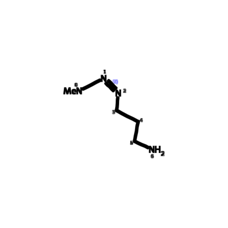 CN/N=N\CCCN